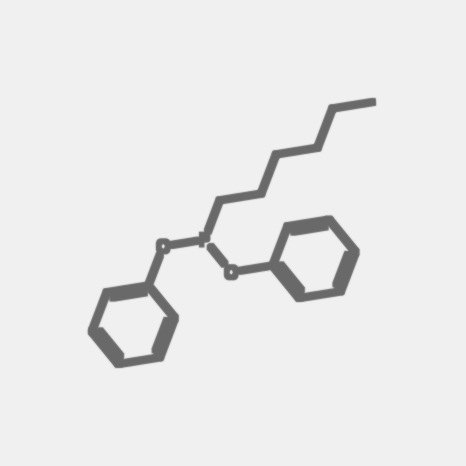 CCCCCCP(Oc1ccccc1)Oc1ccccc1